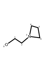 [O]CCN1CCC1